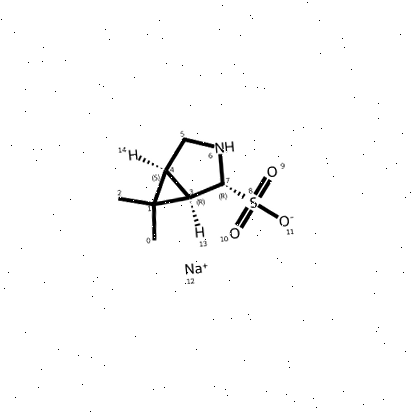 CC1(C)[C@H]2[C@@H]1CN[C@@H]2S(=O)(=O)[O-].[Na+]